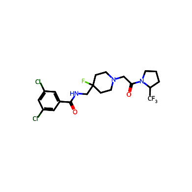 O=C(NCC1(F)CCN(CC(=O)N2CCCC2C(F)(F)F)CC1)c1cc(Cl)cc(Cl)c1